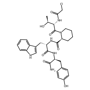 C[C@H](O)[C@H](NC(=O)CCl)C(=O)N1CCCC[C@H]1C(=O)N[C@@H](Cc1c[nH]c2ccccc12)C(=O)N[C@@H](Cc1ccc(O)cc1)C(N)=O